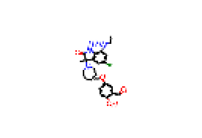 CCNc1cc(F)cc2c1NC(=O)C2(C)N1CCC[C@@H](Oc2ccc(O)c(C=O)c2)C1